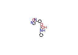 O[C@H](CNCc1ccccc1)COc1cccc(-c2noc3ncccc23)c1